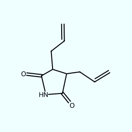 C=CCC1C(=O)NC(=O)C1CC=C